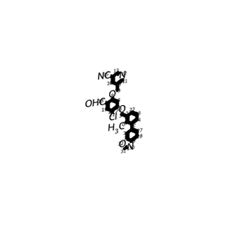 Cc1c(COc2cc(OCc3cncc(C#N)c3)c(C=O)cc2Cl)cccc1-c1ccc2ncoc2c1